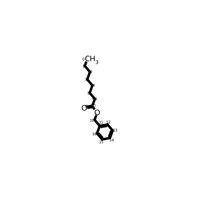 CCCCCC[CH]C(=O)OCc1ccccc1